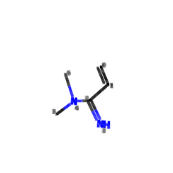 C=CC(=N)N(C)C